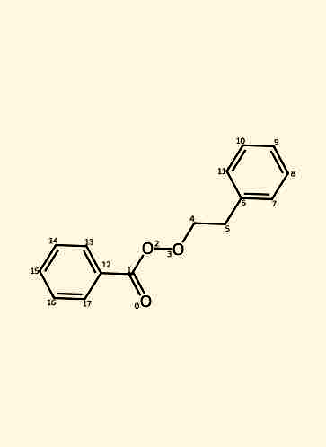 O=C(OOCCc1ccccc1)c1ccccc1